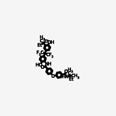 CCC(C)(C)NC(=O)c1ccc(Oc2ccc(C(=O)Nc3cc(C(c4ccc(O)c(C(C)(CC)CC)c4)(C(F)(F)F)C(F)(F)F)ccc3O)cc2)cc1